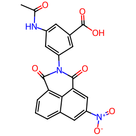 CC(=O)Nc1cc(C(=O)O)cc(N2C(=O)c3cccc4cc([N+](=O)[O-])cc(c34)C2=O)c1